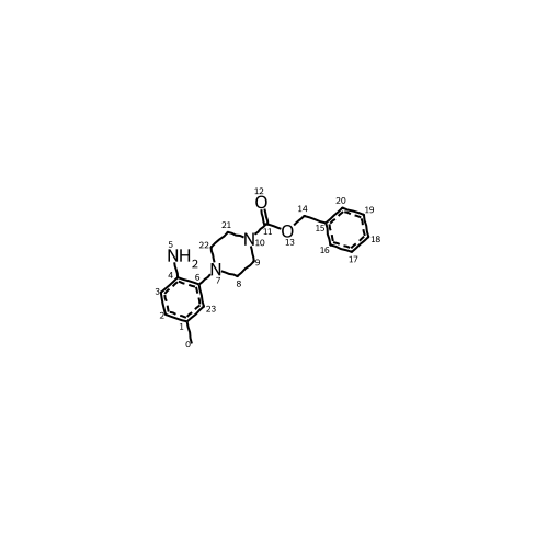 Cc1ccc(N)c(N2CCN(C(=O)OCc3ccccc3)CC2)c1